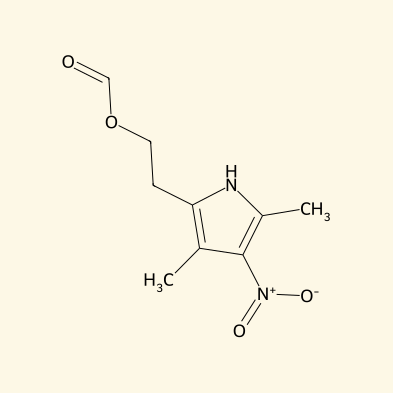 Cc1[nH]c(CCOC=O)c(C)c1[N+](=O)[O-]